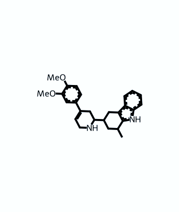 COc1ccc(C2=CCNC(C3Cc4c([nH]c5ccccc45)C(C)C3)C2)cc1OC